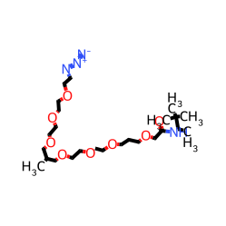 CC(COCCOCCOCCCOCC(=O)NC(C)C(C)(C)C)COCCOCCOCCN=[N+]=[N-]